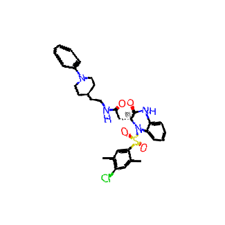 Cc1cc(S(=O)(=O)N2c3ccccc3NC(=O)[C@H]2CC(=O)NCCC2CCN(c3ccccc3)CC2)c(C)cc1Cl